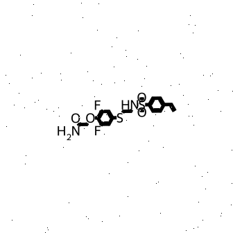 C=Cc1ccc(S(=O)(=O)NCCSc2cc(F)c(OCC(N)=O)c(F)c2)cc1